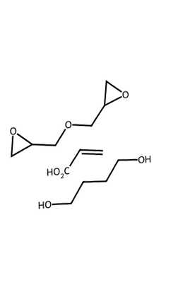 C(OCC1CO1)C1CO1.C=CC(=O)O.OCCCCO